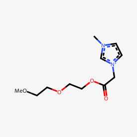 COCCOCCOC(=O)C[n+]1ccn(C)c1